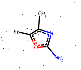 CCc1oc(N)nc1C